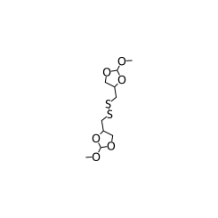 COC1OCC(CSSCC2COC(OC)O2)O1